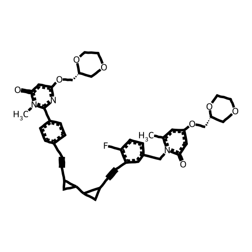 Cc1cc(OC[C@H]2COCCO2)cc(=O)n1Cc1ccc(F)c(C#CC2CC2C2CC2C#Cc2ccc(-c3nc(OC[C@H]4COCCO4)cc(=O)n3C)cc2)c1